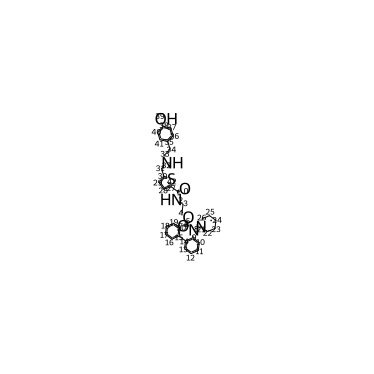 O=C(NCCOC(=O)N(c1ccccc1-c1ccccc1)N1CC[CH]CC1)c1ccc(CNCCc2ccc(O)cc2)s1